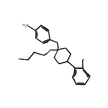 CCCCCC1(Cc2ccc(N)cc2)CCC(c2ccccc2C)CC1